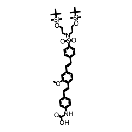 COc1cc(C=Cc2ccc(S(=O)(=O)N(CCO[Si](C)(C)C(C)(C)C)CCO[Si](C)(C)C(C)(C)C)cc2)ccc1C=Cc1ccc(NC(=O)O)cc1